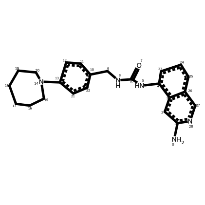 Nc1cc2c(NC(=O)NCc3ccc(N4CCCCCC4)cc3)cccc2cn1